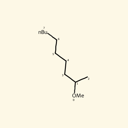 [CH2]OC(C)CCCCCCCC